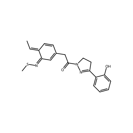 CC=C1C=CC(CC(=O)N2CCC(c3ccccc3O)=N2)=C/C1=N/SC